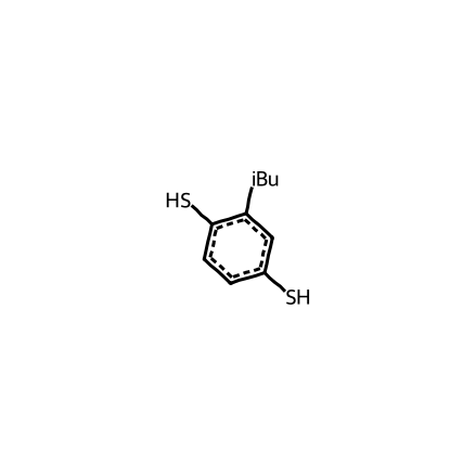 CCC(C)c1cc(S)ccc1S